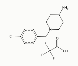 NC1CCN(Cc2ccc(Cl)cc2)CC1.O=C(O)C(F)(F)F